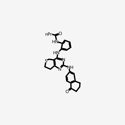 CCCC(=O)Nc1ccccc1Nc1nc(Nc2ccc3c(c2)CCCC3=O)nc2c1CSCC2